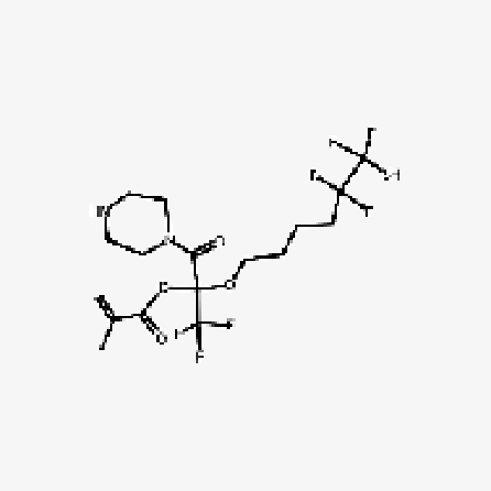 C=C(C)C(=O)OC(OCCCCC(F)(F)C(F)(F)S)(C(=O)N1CCNCC1)C(F)(F)F